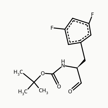 CC(C)(C)OC(=O)N[C@H](C=O)Cc1cc(F)cc(F)c1